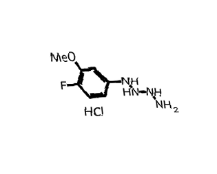 COc1cc(NNNN)ccc1F.Cl